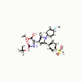 CCOC(=O)[C@H](NC(=O)OC(C)(C)C)c1cc(-c2ccc(S(C)(=O)=O)cc2)n(-c2ccc(F)cc2)c1C